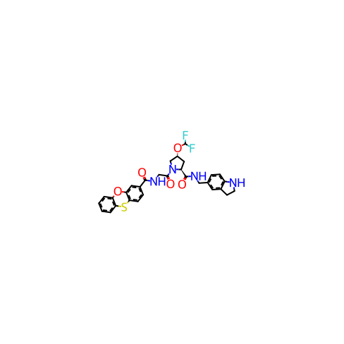 O=C(NCC(=O)N1C[C@H](OC(F)F)C[C@H]1C(=O)NCc1ccc2c(c1)CCN2)c1ccc2c(c1)Oc1ccccc1S2